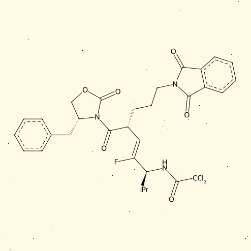 CC(C)[C@H](NC(=O)C(Cl)(Cl)Cl)/C(F)=C/[C@@H](CCCN1C(=O)c2ccccc2C1=O)C(=O)N1C(=O)OC[C@H]1Cc1ccccc1